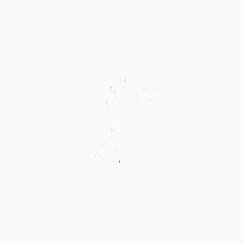 CN(C)[C@]1(Cc2ccccc2)CC[C@H](OCc2cccc(F)c2)CC1